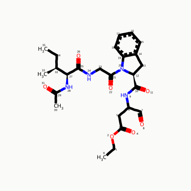 CCOC(=O)CC(C=O)NC(=O)[C@@H]1Cc2ccccc2N1C(=O)CNC(=O)[C@@H](NC(C)=O)[C@@H](C)CC